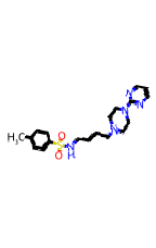 Cc1ccc(S(=O)(=O)NCCCCN2CCN(c3ncccn3)CC2)cc1